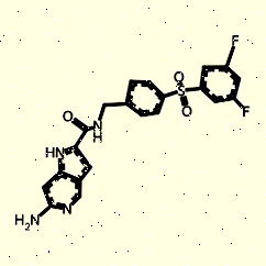 Nc1cc2[nH]c(C(=O)NCc3ccc(S(=O)(=O)c4cc(F)cc(F)c4)cc3)cc2cn1